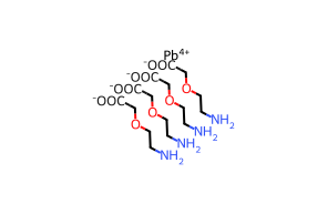 NCCOCC(=O)[O-].NCCOCC(=O)[O-].NCCOCC(=O)[O-].NCCOCC(=O)[O-].[Pb+4]